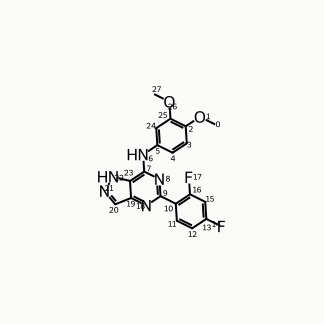 COc1ccc(Nc2nc(-c3ccc(F)cc3F)nc3cn[nH]c23)cc1OC